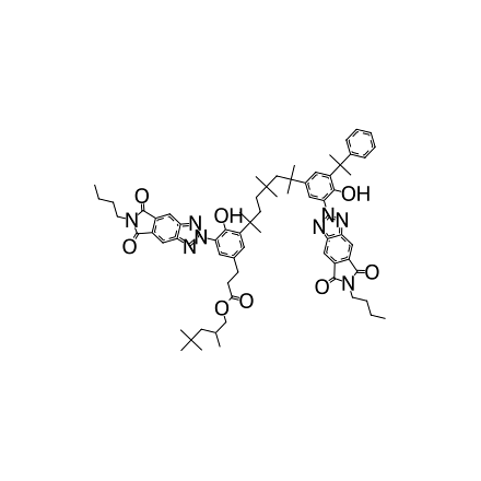 CCCCN1C(=O)c2cc3nn(-c4cc(CCC(=O)OCC(C)CC(C)(C)C)cc(C(C)(C)CCC(C)(C)CC(C)(C)c5cc(-n6nc7cc8c(cc7n6)C(=O)N(CCCC)C8=O)c(O)c(C(C)(C)c6ccccc6)c5)c4O)nc3cc2C1=O